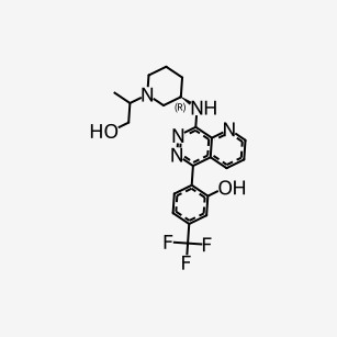 CC(CO)N1CCC[C@@H](Nc2nnc(-c3ccc(C(F)(F)F)cc3O)c3cccnc23)C1